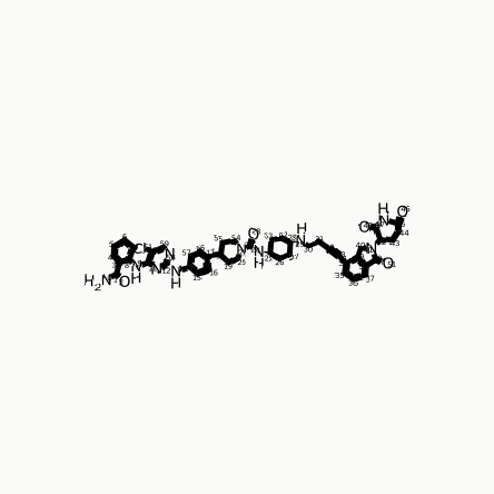 NC(=O)c1ccccc1Nc1nc(Nc2ccc(C3CCN(C(=O)N[C@H]4CC[C@@H](NCCC#Cc5cccc6c5CN(C5CCC(=O)NC5=O)C6=O)CC4)CC3)cc2)ncc1Cl